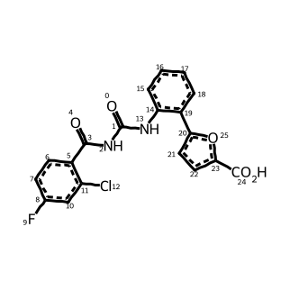 O=C(NC(=O)c1ccc(F)cc1Cl)Nc1ccccc1-c1ccc(C(=O)O)o1